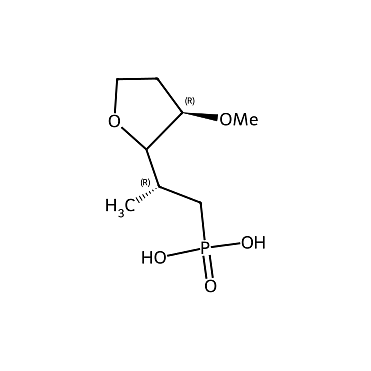 CO[C@@H]1CCOC1[C@@H](C)CP(=O)(O)O